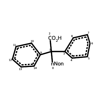 CCCCCCCCCC(C(=O)O)(c1ccccc1)c1ccccc1